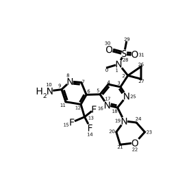 CN(C1(c2cc(-c3cnc(N)cc3C(F)(F)F)nc(N3CCOCC3)n2)CC1)S(C)(=O)=O